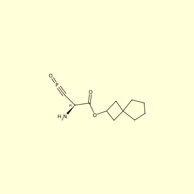 N[C@@H](C#P=O)C(=O)OC1CC2(CCCC2)C1